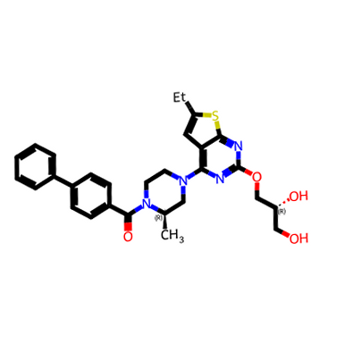 CCc1cc2c(N3CCN(C(=O)c4ccc(-c5ccccc5)cc4)[C@H](C)C3)nc(OC[C@H](O)CO)nc2s1